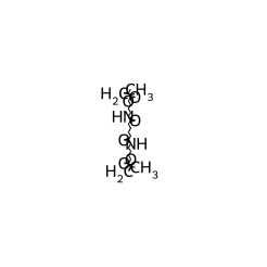 C=C(C)C(=O)OCCCNC(=O)CCCCC(=O)NCCCOC(=O)C(=C)C